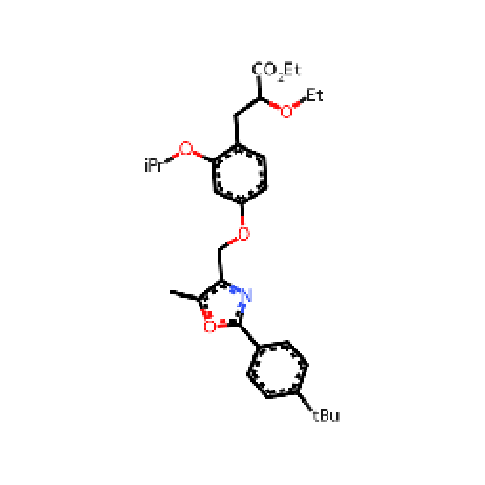 CCOC(=O)C(Cc1ccc(OCc2nc(-c3ccc(C(C)(C)C)cc3)oc2C)cc1OC(C)C)OCC